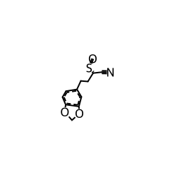 N#CC(CCc1ccc2c(c1)OCO2)=S=O